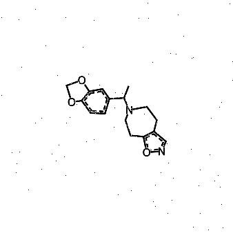 CC(c1ccc2c(c1)OCO2)N1CCc2cnoc2CC1